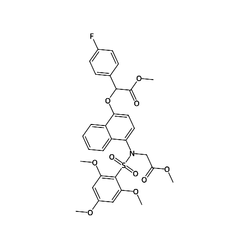 COC(=O)CN(c1ccc(OC(C(=O)OC)c2ccc(F)cc2)c2ccccc12)S(=O)(=O)c1c(OC)cc(OC)cc1OC